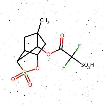 CC12CC3OS(=O)(=O)C(C3C1)C2OC(=O)C(F)(F)S(=O)(=O)O